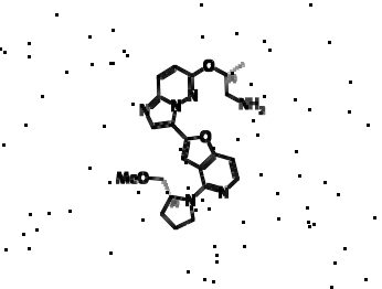 COC[C@H]1CCCN1c1nccc2oc(-c3cnc4ccc(O[C@H](C)CN)nn34)cc12